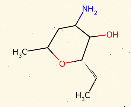 CC[C@@H]1OC(C)CC(N)C1O